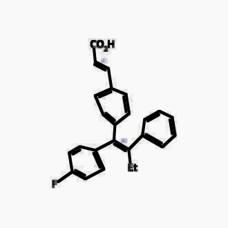 CC/C(=C(\c1ccc(F)cc1)c1ccc(/C=C/C(=O)O)cc1)c1ccccc1